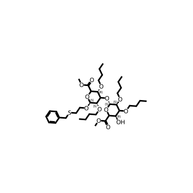 CCCCOC1[C@@H](O)C(C(=O)OC)O[C@H](OC2[C@@H](OCCCC)C(C(=O)OC)O[C@H](OCCSCc3ccccc3)[C@H]2OCCCC)[C@H]1OCCCC